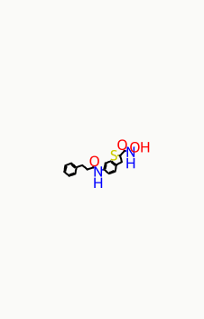 O=C(CCc1ccccc1)Nc1ccc2c(c1)SC(C(=O)NO)C2